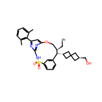 Cc1cccc(C)c1-c1cc2nc(n1)NS(=O)(=O)c1cccc(c1)C([C@H]1CC3(C[C@H](CO)C3)C1)[C@H](CC(C)C)CO2